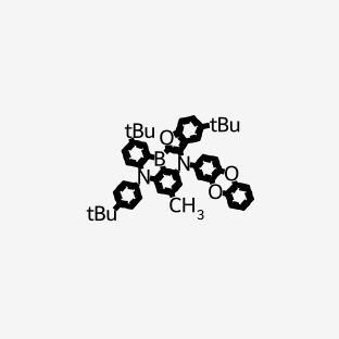 Cc1cc2c3c(c1)N(c1ccc4c(c1)Oc1ccccc1O4)c1c(oc4ccc(C(C)(C)C)cc14)B3c1cc(C(C)(C)C)ccc1N2c1ccc(C(C)(C)C)cc1